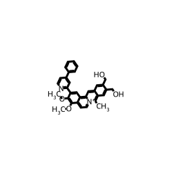 COc1c(-c2cc(-c3ccccc3)ccn2)cc2c(cc[n+]3c(C)c4cc(CO)c(CO)cc4cc23)c1OC